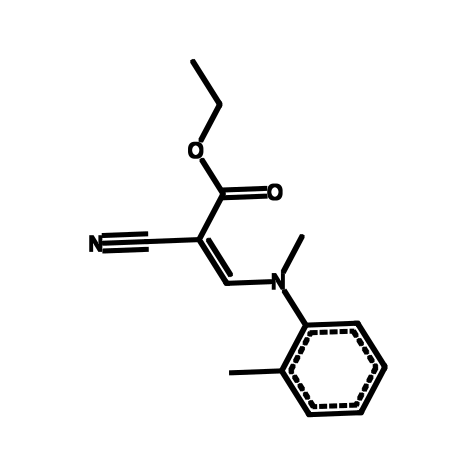 CCOC(=O)C(C#N)=CN(C)c1ccccc1C